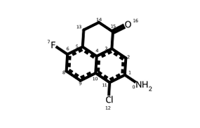 Nc1cc2c3c(c(F)ccc3c1Cl)CCC2=O